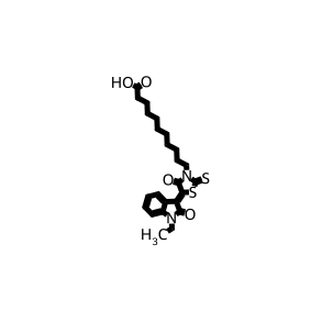 CCN1C(=O)/C(=C2\SC(=S)N(CCCCCCCCCCC(=O)O)C2=O)c2ccccc21